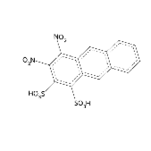 O=[N+]([O-])c1c(S(=O)(=O)O)c(S(=O)(=O)O)c2cc3ccccc3cc2c1[N+](=O)[O-]